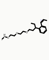 C/C=C\c1ccccc1C(CC)CCOCCOCCOPI